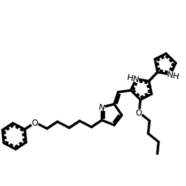 CCCCOc1cc(-c2ccc[nH]2)[nH]c1C=C1C=CC(CCCCCOc2ccccc2)=N1